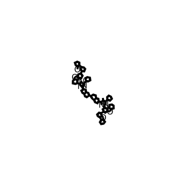 Cc1c(-c2ccccc2)nc(-c2cc(-c3cccc4c3oc3ccccc34)cc3oc4ccccc4c23)nc1-c1ccc2cc(-c3ccc4ccc(-c5nc(-c6ccccc6)nc(-c6cccc7oc8cc(-c9cccc%10c9oc9ccccc9%10)ccc8c67)n5)cc4c3)ccc2c1